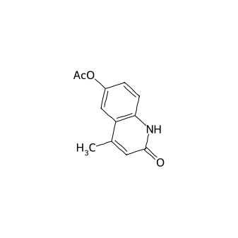 CC(=O)Oc1ccc2[nH]c(=O)cc(C)c2c1